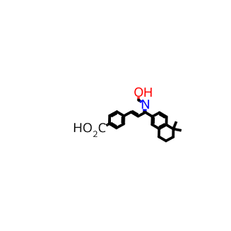 CC1(C)CCCc2cc(C(/C=C/c3ccc(C(=O)O)cc3)=N/CO)ccc21